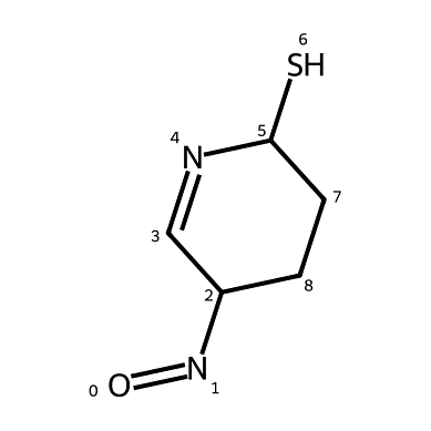 O=NC1C=NC(S)CC1